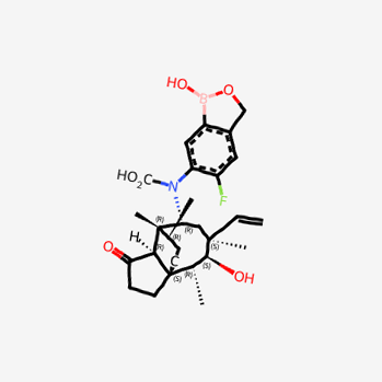 C=C[C@]1(C)C[C@@H](N(C(=O)O)c2cc3c(cc2F)COB3O)[C@]2(C)[C@H](C)CC[C@]3(CCC(=O)[C@H]32)[C@@H](C)[C@@H]1O